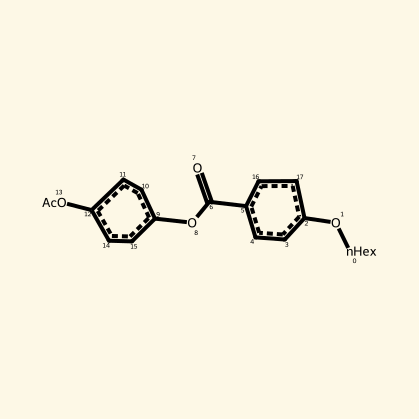 CCCCCCOc1ccc(C(=O)Oc2ccc(OC(C)=O)cc2)cc1